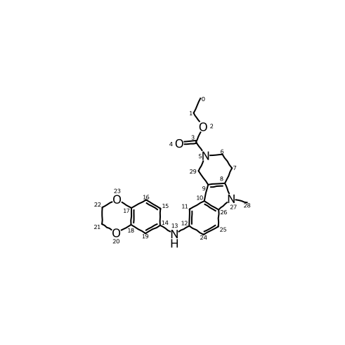 CCOC(=O)N1CCc2c(c3cc(Nc4ccc5c(c4)OCCO5)ccc3n2C)C1